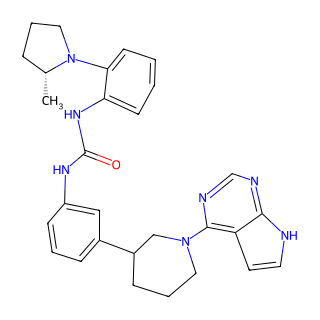 C[C@@H]1CCCN1c1ccccc1NC(=O)Nc1cccc(C2CCCN(c3ncnc4[nH]ccc34)C2)c1